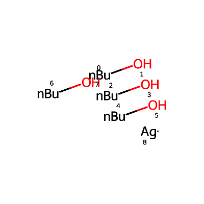 CCCCO.CCCCO.CCCCO.CCCCO.[Ag]